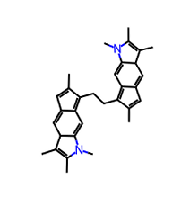 CC1=CC2=CC3C(=CC2=C1CCC1=C2C=C4C(C=C2C=C1C)C(C)=C(C)N4C)N(C)C(C)=C3C